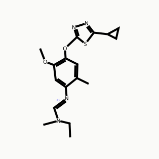 CCN(C)/C=N/c1cc(OC)c(Oc2nnc(C3CC3)s2)cc1C